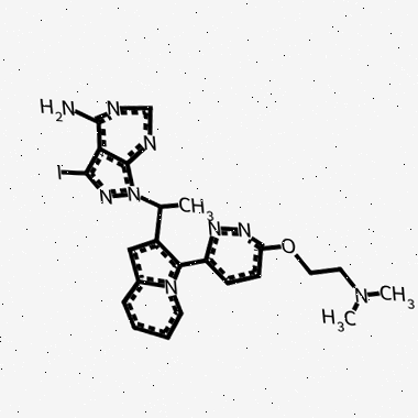 CC(c1cc2ccccn2c1-c1ccc(OCCN(C)C)nn1)n1nc(I)c2c(N)ncnc21